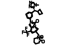 Cn1cnnc1[C@@H](c1cccc(-n2cc3c(C(F)(F)F)cc(CN4CCCCS4(=O)=O)cn3c2=O)c1)C1CCC1